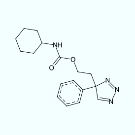 O=C(NC1CCCCC1)OCCC1(c2ccccc2)C=NN=N1